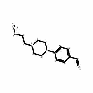 COCCN1CCN(c2ccc(C=O)cc2)CC1